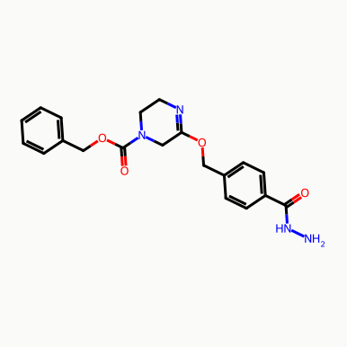 NNC(=O)c1ccc(COC2=NCCN(C(=O)OCc3ccccc3)C2)cc1